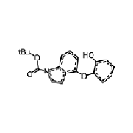 CC(C)(C)OC(=O)n1ccc2c(Oc3ccccc3O)cccc21